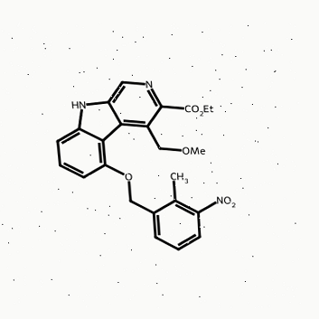 CCOC(=O)c1ncc2[nH]c3cccc(OCc4cccc([N+](=O)[O-])c4C)c3c2c1COC